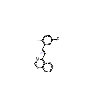 Cc1ccc(F)cc1/C=C/c1nccc2ccccc12